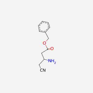 N#CCC(N)CC(=O)OCc1ccccc1